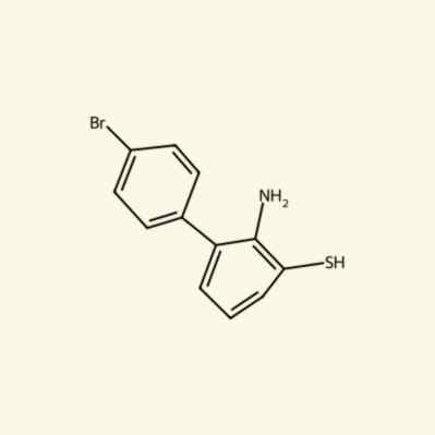 Nc1c(S)cccc1-c1ccc(Br)cc1